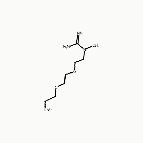 COCCOCCOCCN(C)C(=N)N